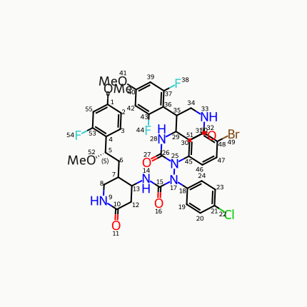 COc1ccc([C@H](CC2CNC(=O)CC2NC(=O)N(c2ccc(Cl)cc2)N(C(=O)NC2CC(=O)NCC2c2c(F)cc(OC)cc2F)c2ccc(Br)cc2)OC)c(F)c1